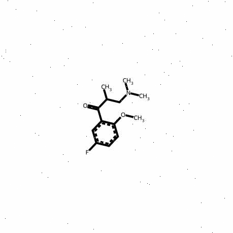 COc1ccc(F)cc1C(=O)C(C)CN(C)C